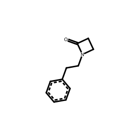 O=C1CCN1CCc1ccccc1